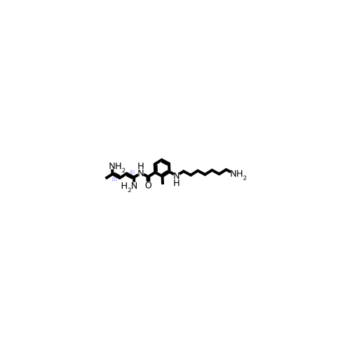 C/C(N)=C/C=C(\N)NC(=O)c1cccc(NCCCCCCCN)c1C